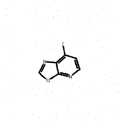 Ic1ccnc2ocnc12